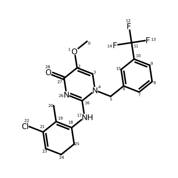 COc1cn(Cc2cccc(C(F)(F)F)c2)c(NC2=C(C)C(Cl)=CCC2)nc1=O